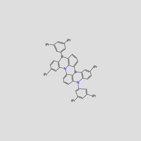 CC(C)c1cc(B2c3ccc(C(C)C)cc3N3c4cccc5c4B(c4cc(C(C)C)ccc4N5c4cc(C(C)C)cc(C(C)C)c4)c4cccc2c43)cc(C(C)C)c1